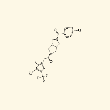 Cc1c(Cl)c(C(F)(F)F)nn1CC(=O)N1CC2=CN(C(=O)c3ccc(Cl)cc3)CC2C1